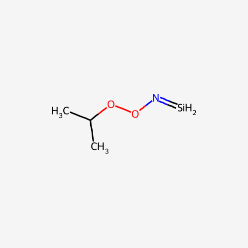 CC(C)OON=[SiH2]